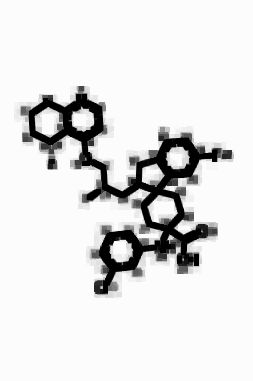 C[C@@H](COc1ccnc2c1[C@H](C)CCC2)CC1Cc2ccc(F)cc2C12CCC(Nc1cccc(Cl)c1)(C(=O)O)CC2